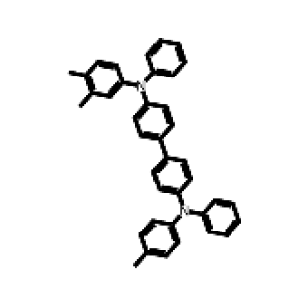 Cc1ccc(N(c2ccccc2)c2ccc(-c3ccc(N(c4ccccc4)c4ccc(C)c(C)c4)cc3)cc2)cc1